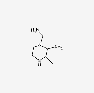 CC1NCCN(CN)C1N